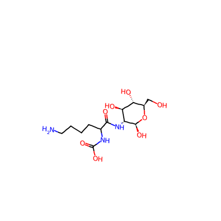 NCCCCC(NC(=O)O)C(=O)N[C@@H]1[C@@H](O)[C@H](O)[C@@H](CO)O[C@H]1O